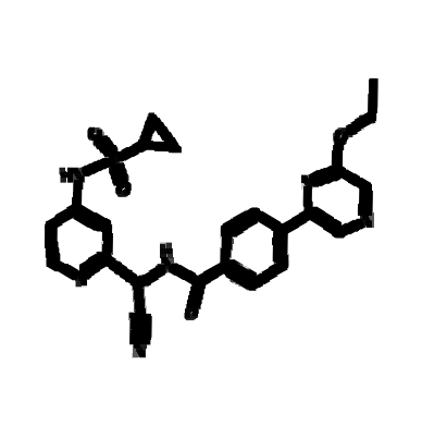 CCOc1cncc(-c2ccc(C(=O)NC(C#N)c3cc(NS(=O)(=O)C4CC4)ccn3)cc2)n1